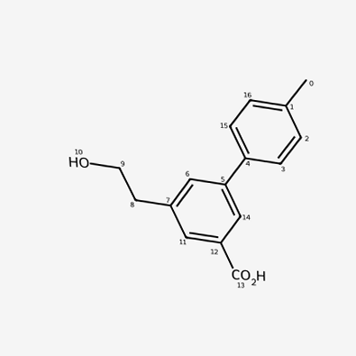 Cc1ccc(-c2cc(CCO)cc(C(=O)O)c2)cc1